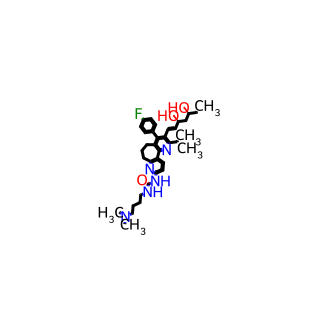 CC[C@H](O)C[C@H](O)/C=C/c1c(C(C)C)nc2c(c1-c1ccc(F)cc1)CCCc1nc(NC(=O)NCCCCN(C)C)ccc1-2